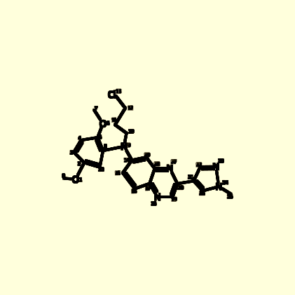 COc1ccc(OC)c(N(CCCCl)c2ccc3ncc(-c4cnn(C)c4)nc3c2)c1